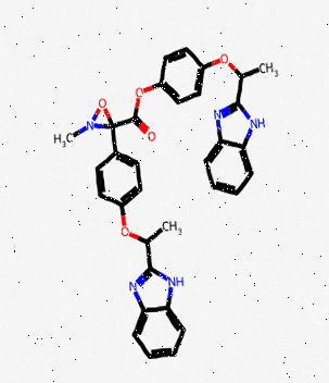 CC(Oc1ccc(OC(=O)C2(c3ccc(OC(C)c4nc5ccccc5[nH]4)cc3)ON2C)cc1)c1nc2ccccc2[nH]1